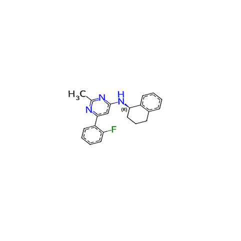 Cc1nc(N[C@@H]2CCCc3ccccc32)cc(-c2ccccc2F)n1